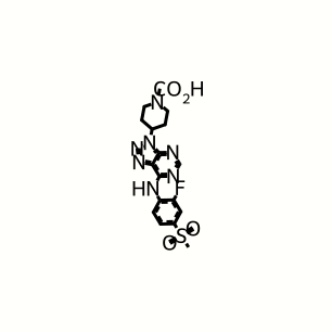 CS(=O)(=O)c1ccc(Nc2ncnc3c2nnn3C2CCN(C(=O)O)CC2)c(F)c1